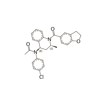 CC(=O)N(c1ccc(Cl)cc1)[C@@H]1C[C@H](C)N(C(=O)c2ccc3c(c2)CCO3)c2ccccc21